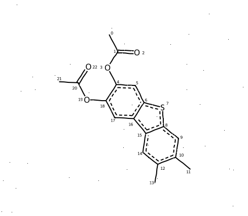 CC(=O)Oc1cc2sc3cc(C)c(C)cc3c2cc1OC(C)=O